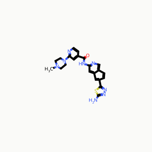 CN1CCN(c2cc(C(=O)Nc3cc4cc(-c5nnc(N)s5)ccc4cn3)ccn2)CC1